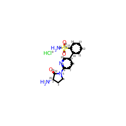 Cl.N[C@H]1CCN(c2ccc(-c3ccccc3S(N)(=O)=O)cn2)C1=O